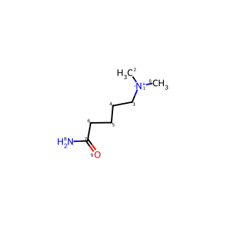 C[N+](C)CCCCC(N)=O